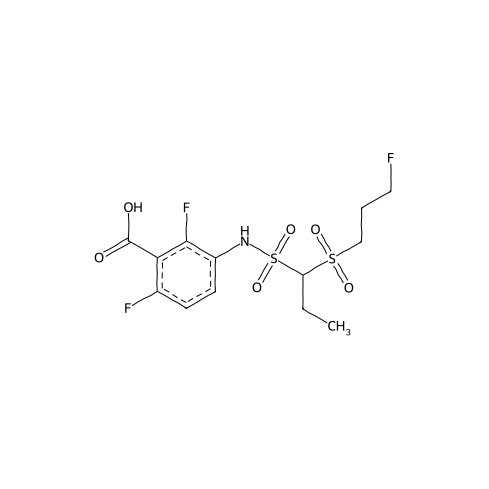 CCC(S(=O)(=O)CCCF)S(=O)(=O)Nc1ccc(F)c(C(=O)O)c1F